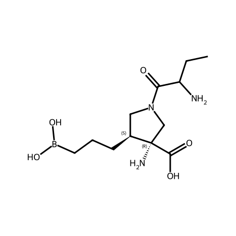 CCC(N)C(=O)N1C[C@H](CCCB(O)O)[C@](N)(C(=O)O)C1